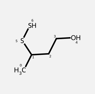 CC(CCO)SS